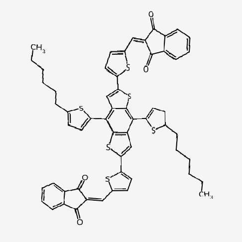 CCCCCCc1ccc(-c2c3cc(-c4ccc(C=C5C(=O)c6ccccc6C5=O)s4)sc3c(C3=CCC(CCCCCC)S3)c3cc(-c4ccc(C=C5C(=O)c6ccccc6C5=O)s4)sc23)s1